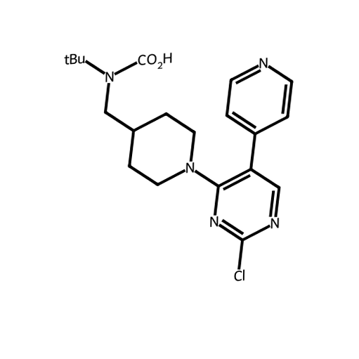 CC(C)(C)N(CC1CCN(c2nc(Cl)ncc2-c2ccncc2)CC1)C(=O)O